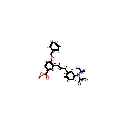 COC(=O)c1ccc(OCc2ccccc2)c(CCCc2cccc(N(C(C)C)C(C)C)c2)c1